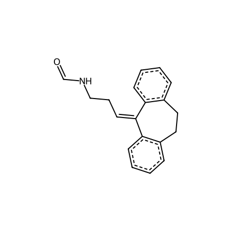 O=CNCCC=C1c2ccccc2CCc2ccccc21